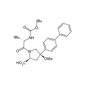 CO[C@@]1(c2ccc(-c3ccccc3)cc2)C[C@@H](C(=O)O)N(C(=O)[C@@H](NC(=O)OC(C)(C)C)C(C)(C)C)C1